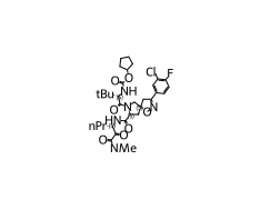 CCC[C@H](NC(=O)[C@@H]1C[C@]2(CC(c3ccc(F)c(Cl)c3)=NO2)CN1C(=O)[C@@H](NC(=O)OC1CCCC1)C(C)(C)C)C(=O)C(=O)NC